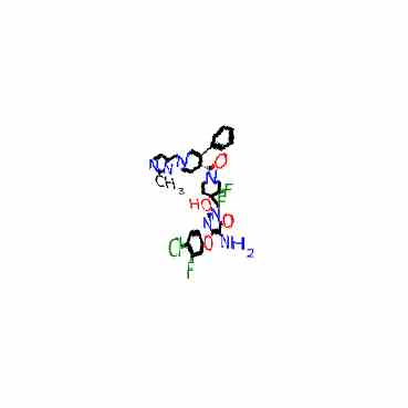 Cc1nccc(CN2CC[C@@H](C(=O)N3CC[C@](O)(Cn4cnc(Oc5ccc(Cl)c(F)c5)c(N)c4=O)C(F)(F)C3)[C@H](c3ccccc3)C2)n1